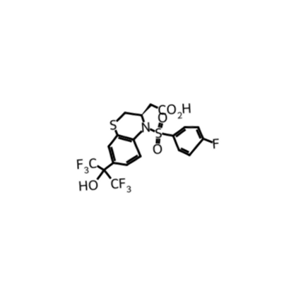 O=C(O)C[C@@H]1CSc2cc(C(O)(C(F)(F)F)C(F)(F)F)ccc2N1S(=O)(=O)c1ccc(F)cc1